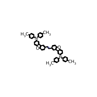 Cc1ccc(N(c2ccc(C)cc2)c2ccc3oc4ccc(/C=C/c5ccc6oc7ccc(N(c8ccc(C)cc8)c8ccc(C)cc8)cc7c6c5)cc4c3c2)cc1